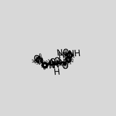 C[C@@H]1CN(c2cccc(-c3csc(NC(=O)CNC(=O)c4ccc5c(c4)[C@@](C)(C#N)CNC5)n3)c2)C[C@H](C)O1